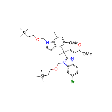 COC(=O)C=CC(C)(c1c(OC)cc(C)c2c1ccn2COCC[Si](C)(C)C)c1nc2ccc(Br)cc2n1COCC[Si](C)(C)C